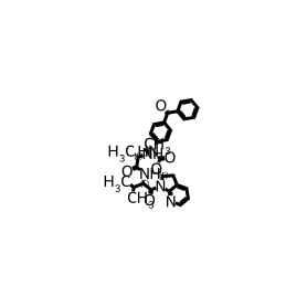 CN[C@@H](C)C(=O)N[C@H](C(=O)N1c2ncccc2C[C@@H]1OC(=O)Nc1ccc(C(=O)c2ccccc2)cc1)C(C)C